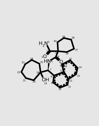 NC(=O)C1(C(=O)N[C@@H](c2cccc3ccccc23)C2(O)CCCCCC2)CCCCC1